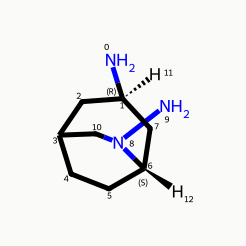 N[C@@H]1CC2CC[C@@H](C1)N(N)C2